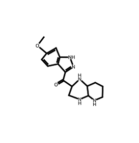 COc1ccc2c(C(=O)C3CNC4NCCCC4N3)n[nH]c2c1